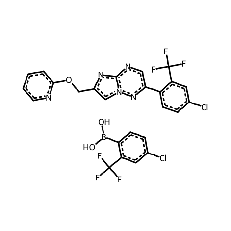 FC(F)(F)c1cc(Cl)ccc1-c1cnc2nc(COc3ccccn3)cn2n1.OB(O)c1ccc(Cl)cc1C(F)(F)F